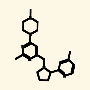 Cc1ccnc(C2CCCN2Cc2cc(N3CCN(C)CC3)nc(C)n2)c1